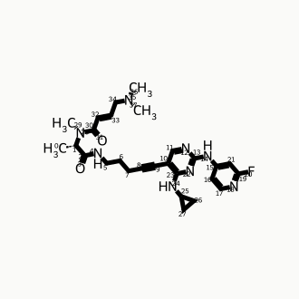 C[C@@H](C(=O)NCCCC#Cc1cnc(Nc2ccnc(F)c2)nc1NC1CC1)N(C)C(=O)C=CCN(C)C